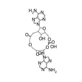 Nc1ncnc2c1ncn2C1OC2COP(=O)(O)OC3C(O)C(COCC(=O)CC1C2O)OC3n1cnc2c(N)ncnc21